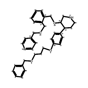 c1ccc(COCCCOc2ccc(C3CCNCC3OCc3ccccc3COCc3ccncc3)cc2)cc1